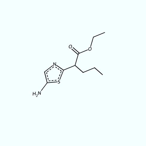 CCCC(C(=O)OCC)c1ncc(N)s1